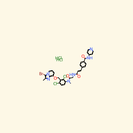 Cc1nc2c(OCc3c(Cl)ccc(N(C)C(=O)CNC(=O)C=Cc4ccc(C(=O)Nc5ccncc5)cc4)c3Cl)cccn2c1Br.Cl.Cl